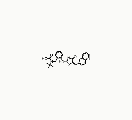 CC(C)(C)N(Cc1ccccc1NC1=NC(=O)C(=Cc2ccc3ncccc3c2)S1)C(=O)O